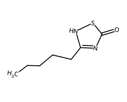 CCCCCc1nc(=O)s[nH]1